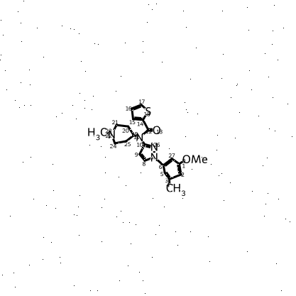 COc1cc(C)cc(-n2ccc(N(C(=O)c3cccs3)C3CCN(C)CC3)n2)c1